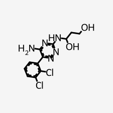 Nc1nc(NC(O)CCO)nnc1-c1cccc(Cl)c1Cl